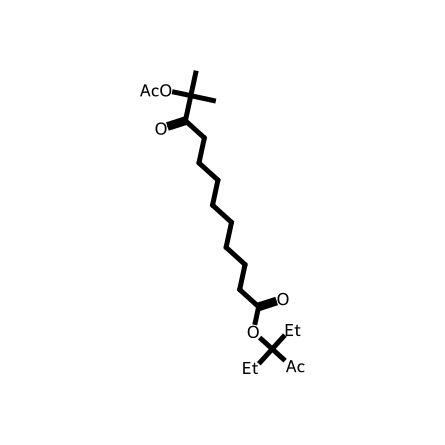 CCC(CC)(OC(=O)CCCCCCCCC(=O)C(C)(C)OC(C)=O)C(C)=O